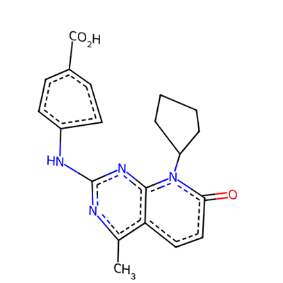 Cc1nc(Nc2ccc(C(=O)O)cc2)nc2c1ccc(=O)n2C1CCCC1